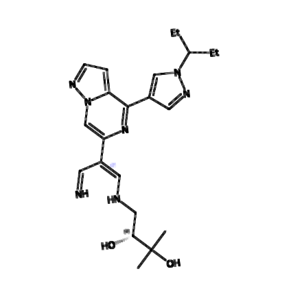 CCC(CC)n1cc(-c2nc(/C(C=N)=C/NC[C@@H](O)C(C)(C)O)cn3nccc23)cn1